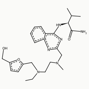 CCN(CCN(C)Cc1nc(N[C@H](C(N)=O)C(C)C)c2ccccc2n1)Cc1ccc(CO)o1